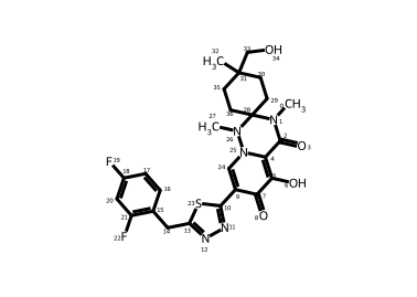 CN1C(=O)c2c(O)c(=O)c(-c3nnc(Cc4ccc(F)cc4F)s3)cn2N(C)C12CCC(C)(CO)CC2